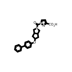 O=C(O)c1ccn(C(=O)N2CC3CC(Oc4ccc(-c5ccccc5)cc4)CC3C2)n1